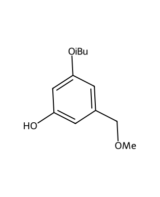 COCc1cc(O)cc(OCC(C)C)c1